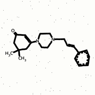 CC1(C)CC(=O)C=C(N2CCN(C/C=C/c3ccccc3)CC2)C1